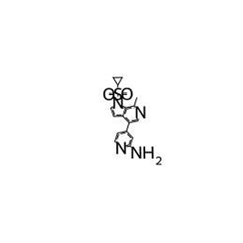 Cc1ncc(-c2ccnc(N)c2)c2ccn(S(=O)(=O)C3CC3)c12